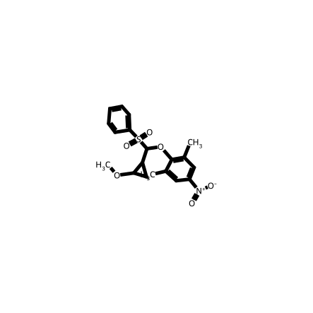 COC1CC1C(Oc1c(C)cc([N+](=O)[O-])cc1C)S(=O)(=O)c1ccccc1